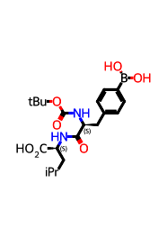 CC(C)C[C@H](NC(=O)[C@H](Cc1ccc(B(O)O)cc1)NC(=O)OC(C)(C)C)C(=O)O